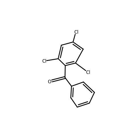 O=C(c1ccccc1)c1c(Cl)cc(Cl)cc1Cl